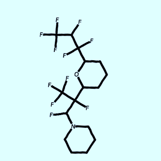 FC(C(F)(F)F)C(F)(F)C1CCCC(C(F)(C(F)N2CCCCC2)C(F)(F)F)O1